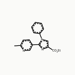 CCOC(=O)c1cn(-c2ccccc2)c(-c2ccc(C)nc2)n1